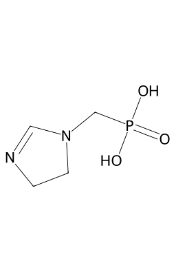 O=P(O)(O)CN1C=NCC1